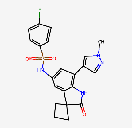 Cn1cc(-c2cc(NS(=O)(=O)c3ccc(F)cc3)cc3c2NC(=O)C32CCC2)cn1